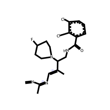 C=N/C(C)=N\C=C(/C)C(CNC(=O)c1cccc(Cl)c1Cl)N1CCC(F)CC1